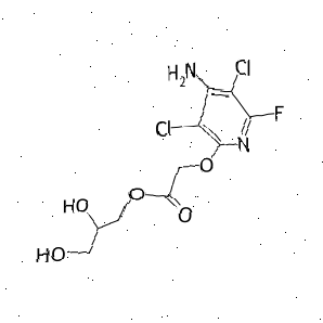 Nc1c(Cl)c(F)nc(OCC(=O)OCC(O)CO)c1Cl